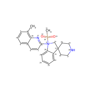 Cc1cccc2ccc([N+]3(S(C)(=O)=O)CC4(CCNCC4)c4ccccc43)nc12